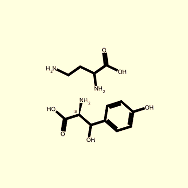 NCCC(N)C(=O)O.N[C@H](C(=O)O)C(O)c1ccc(O)cc1